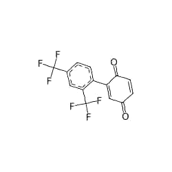 O=C1C=CC(=O)C(c2ccc(C(F)(F)F)cc2C(F)(F)F)=C1